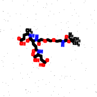 CC(CCC(=O)O)NC(=O)C(CCC(=O)NC(CCC(=O)O)C(=O)O)NC(=O)COCCOCCNC(=O)OC(C)(C)C